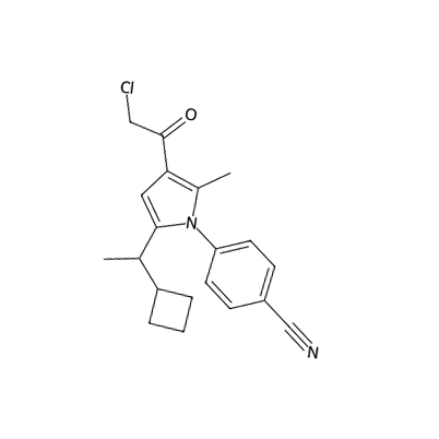 Cc1c(C(=O)CCl)cc(C(C)C2CCC2)n1-c1ccc(C#N)cc1